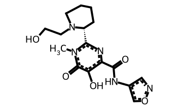 Cn1c([C@H]2CCCCN2CCO)nc(C(=O)Nc2cnoc2)c(O)c1=O